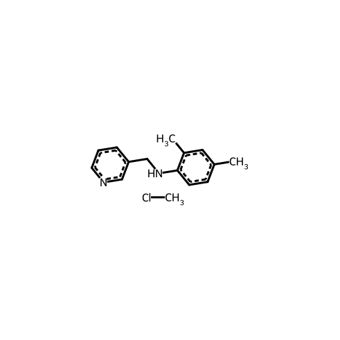 CCl.Cc1ccc(NCc2cccnc2)c(C)c1